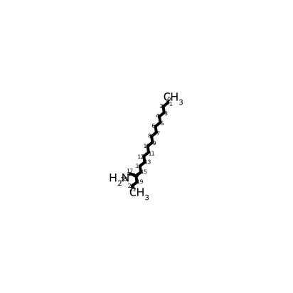 CCCCCCCCCCCCCCCCC(CN)CCC